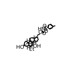 CC[C@H]1[C@@H](O)[C@@H]2[C@H](CC[C@]3(C)[C@@H](CCOC(=O)NS(=O)(=O)c4ccc(C)cc4)CC[C@@H]23)[C@@]2(C)CC[C@@H](O)C[C@@H]12